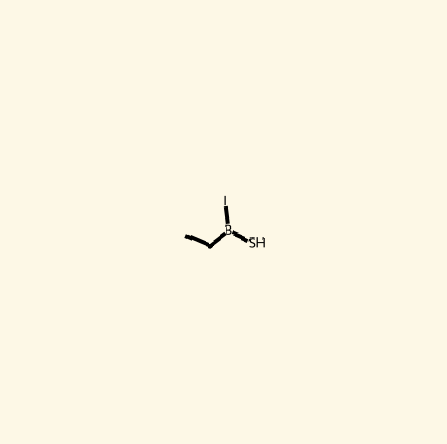 CCB(S)I